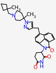 CC1(CN2CCC(C)(n3cc(Cc4ccc5c6c(cccc46)C(=O)N5C4CCC(=O)NC4=O)cn3)CC2)CCC1